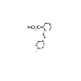 O=C(O)c1ccccc1/C=C/c1ccc(F)cc1